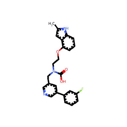 Cc1cc2c(OCCN(Cc3cncc(-c4cccc(F)c4)c3)C(=O)O)cccc2[nH]1